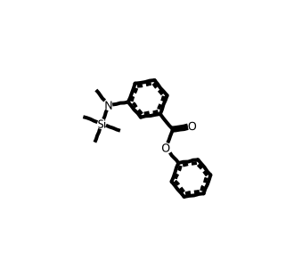 CN(c1cccc(C(=O)Oc2ccccc2)c1)[Si](C)(C)C